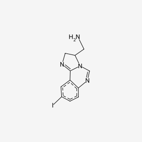 NCC1CN=C2c3cc(I)ccc3N=CN21